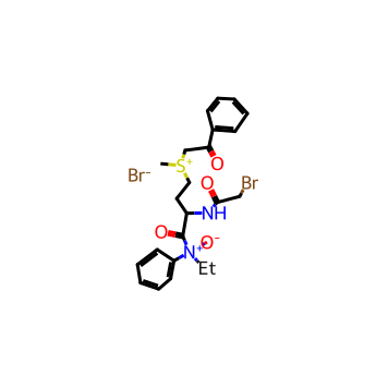 CC[N+]([O-])(C(=O)C(CC[S+](C)CC(=O)c1ccccc1)NC(=O)CBr)c1ccccc1.[Br-]